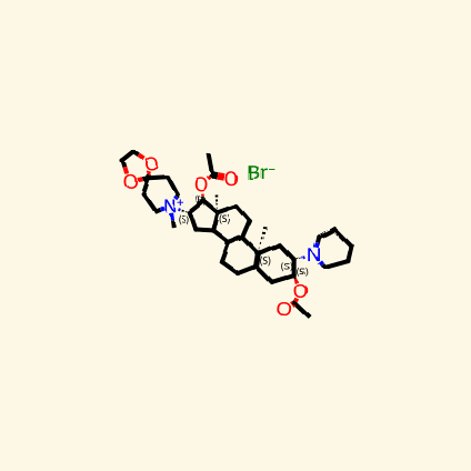 CC(=O)O[C@H]1CC2CCC3C(CC[C@@]4(C)C3C[C@H]([N+]3(C)CCC5(CC3)OCCO5)[C@@H]4OC(C)=O)[C@@]2(C)C[C@@H]1N1CCCCC1.[Br-]